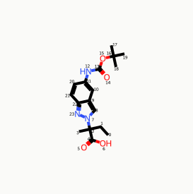 CCC(C)(C(=O)O)n1cc2cc(NC(=O)OC(C)(C)C)ccc2n1